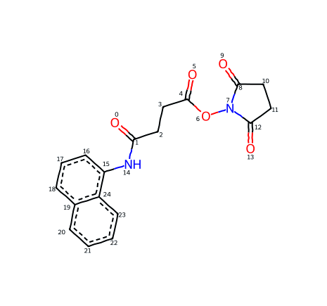 O=C(CCC(=O)ON1C(=O)CCC1=O)Nc1cccc2ccccc12